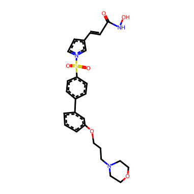 O=C(C=Cc1ccn(S(=O)(=O)c2ccc(-c3cccc(OCCCN4CCOCC4)c3)cc2)c1)NO